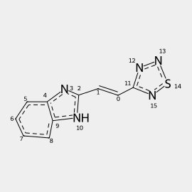 C(=C\c1nc2ccccc2[nH]1)/c1nnsn1